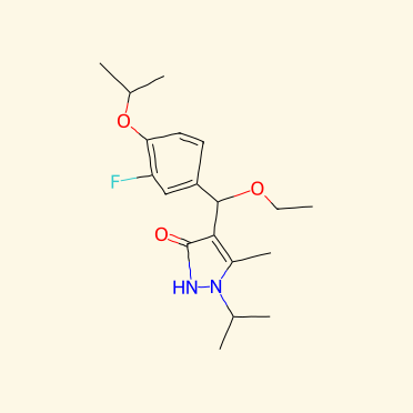 CCOC(c1ccc(OC(C)C)c(F)c1)c1c(C)n(C(C)C)[nH]c1=O